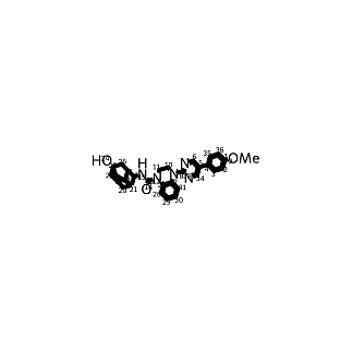 COc1ccc(-c2cnc(N3CCN(C(=O)NC4C5CC6CC4CC(O)(C6)C5)c4ccccc43)nc2)cc1